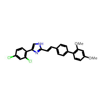 COc1ccc(-c2ccc(/C=C/c3nc(-c4ccc(Cl)cc4Cl)c[nH]3)cc2)c(OC)c1